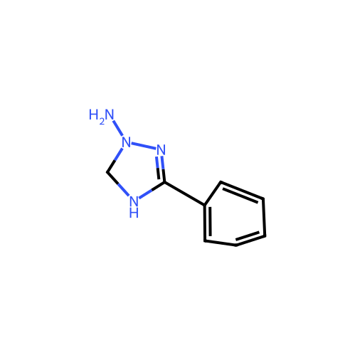 NN1CNC(c2ccccc2)=N1